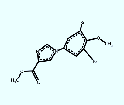 COC(=O)c1cn(-c2cc(Br)c(OC)c(Br)c2)cn1